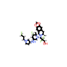 C[C@@H]1Cc2cc3c(cc2[C@@H](C2(C)N=CC(N[C@H]4CCN(CCCF)C4)=CC2F)N1CC(F)(F)CO)OCO3